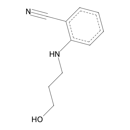 N#Cc1ccccc1NCCCO